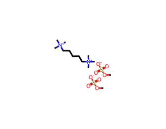 COS(=O)(=O)[O-].COS(=O)(=O)[O-].C[N+](C)(C)CCCCC[N+](C)(C)C